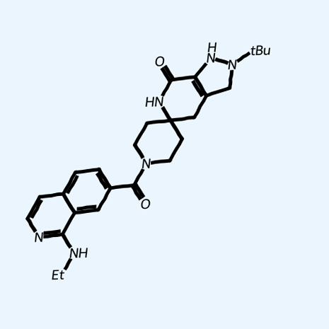 CCNc1nccc2ccc(C(=O)N3CCC4(CC3)CC3=C(NN(C(C)(C)C)C3)C(=O)N4)cc12